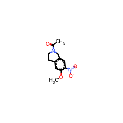 COc1cc2c(cc1[N+](=O)[O-])CN(C(C)=O)CC2